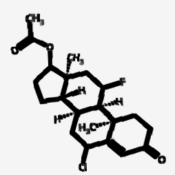 CC(=O)OC1CC[C@H]2[C@@H]3CC(Cl)C4=CC(=O)CC[C@]4(C)[C@@H]3C(F)C[C@]12C